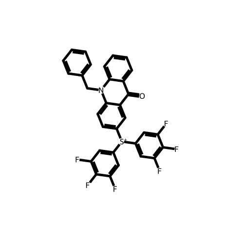 O=c1c2ccccc2n(Cc2ccccc2)c2ccc([S+](c3cc(F)c(F)c(F)c3)c3cc(F)c(F)c(F)c3)cc12